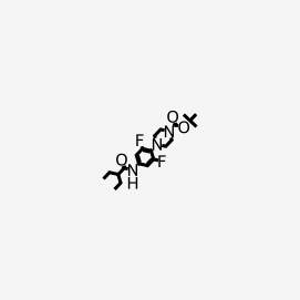 CCC(CC)C(=O)Nc1cc(F)c(N2CCN(C(=O)OC(C)(C)C)CC2)c(F)c1